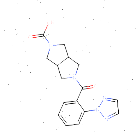 O=C(O)N1CC2CN(C(=O)c3ccccc3-n3nccn3)CC2C1